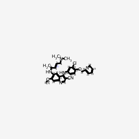 C=C(/C=C/CN(C)C)Nc1cc2c(Nc3ccc(OCc4ccccn4)c(Cl)c3)c(C#N)cnc2cc1OCC